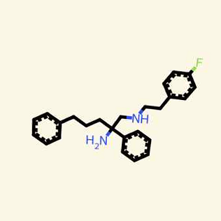 NC(CCCc1ccccc1)(CNCCc1ccc(F)cc1)c1ccccc1